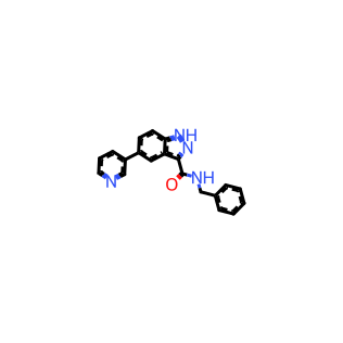 O=C(NCc1ccccc1)c1n[nH]c2ccc(-c3cccnc3)cc12